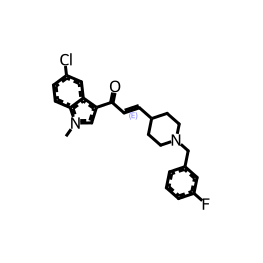 Cn1cc(C(=O)/C=C/C2CCN(Cc3cccc(F)c3)CC2)c2cc(Cl)ccc21